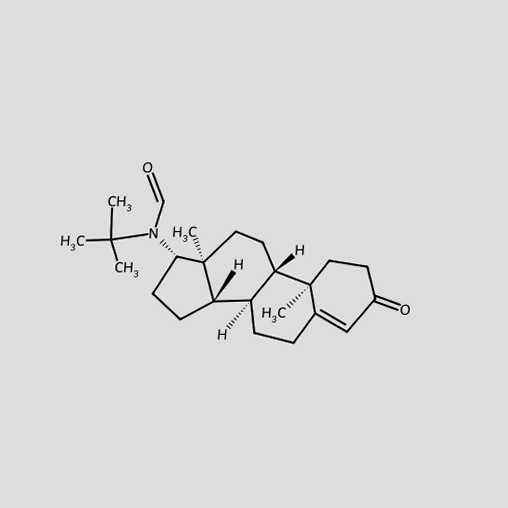 CC(C)(C)N(C=O)[C@H]1CC[C@H]2[C@@H]3CCC4=CC(=O)CC[C@]4(C)[C@H]3CC[C@]12C